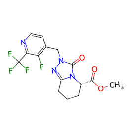 COC(=O)[C@@H]1CCCc2nn(Cc3ccnc(C(F)(F)F)c3F)c(=O)n21